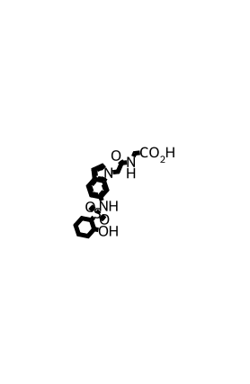 O=C(O)CNC(=O)Cn1ccc2ccc(NS(=O)(=O)C3CCCCC3O)cc21